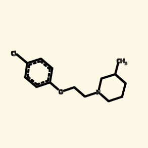 CC1CCCN(CCOc2ccc(Cl)cc2)C1